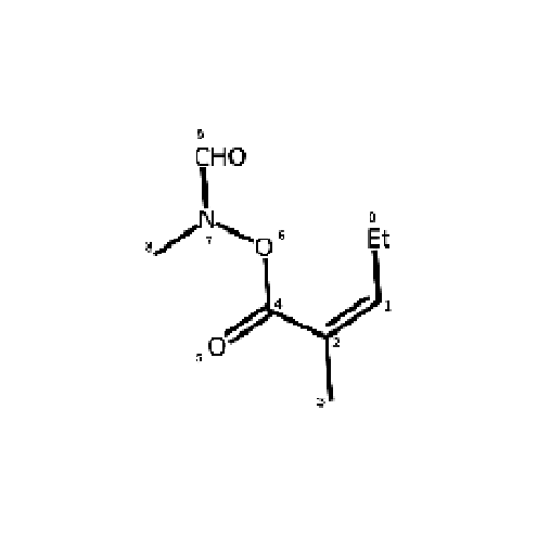 CCC=C(C)C(=O)ON(C)C=O